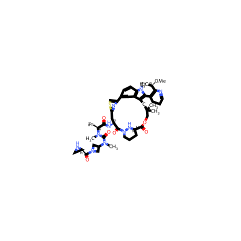 CCn1c(C2=C([C@H](C)OC)N=CCC2)c2c3cc(ccc31)-c1csc(n1)C[C@H](NC(=O)[C@H](C(C)C)N(C)C(=O)N(C)C1CN(C(=O)[C@H]3CN3)C1)C(=O)N1CCC[C@H](N1)C(=O)OCC(C)(C)C2